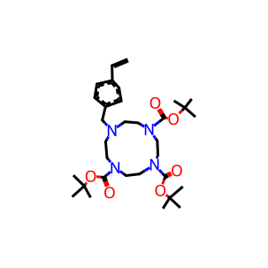 C=Cc1ccc(CN2CCN(C(=O)OC(C)(C)C)CCN(C(=O)OC(C)(C)C)CCN(C(=O)OC(C)(C)C)CC2)cc1